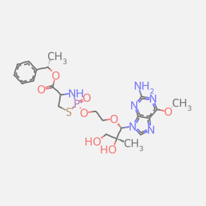 COc1nc(N)nc2c1ncn2[C@H](OCCOP1(=O)NC(C(=O)O[C@@H](C)c2ccccc2)CS1)[C@](C)(O)CO